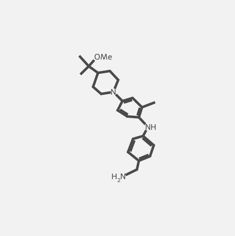 COC(C)(C)C1CCN(c2ccc(Nc3ccc(CN)cc3)c(C)c2)CC1